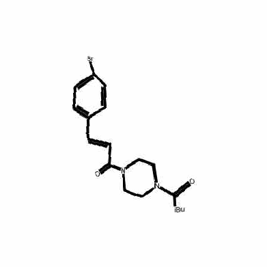 CCC(C)C(=O)N1CCN(C(=O)/C=C/c2ccc(Br)cc2)CC1